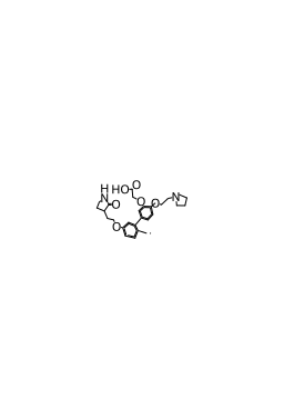 [CH2]c1ccc(OCCC2CCNC2=O)cc1-c1ccc(OCCN2CCCC2)c(OCC(=O)O)c1